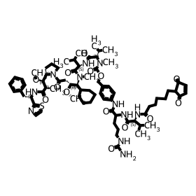 CO[C@H]([C@@H](C)C(=O)N[C@@H](Cc1ccccc1)c1nccs1)[C@@H]1CCCN1C(=O)C[C@@H](OC)[C@H](C1CCCCC1)N(C)C(=O)[C@@H](NC(=O)[C@H](C(C)C)N(C)C(=O)OCc1ccc(NC(=O)C(CCCNC(N)=O)NC(=O)[C@@H](NC(=O)CCCCCC2C(=O)C=CC2=O)C(C)C)cc1)C(C)C